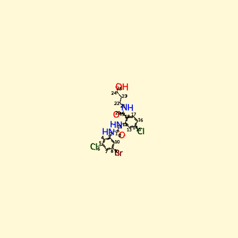 O=C(Nc1cc(Cl)cc(Br)c1)Nc1cc(Cl)ccc1C(=O)NCCCO